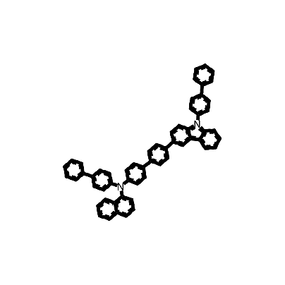 c1ccc(-c2ccc(N(c3ccc(-c4ccc(-c5ccc6c(c5)c5ccccc5n6-c5ccc(-c6ccccc6)cc5)cc4)cc3)c3cccc4ccccc34)cc2)cc1